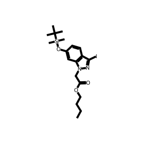 CCCCOC(=O)Cn1nc(I)c2ccc(O[Si](C)(C)C(C)(C)C)cc21